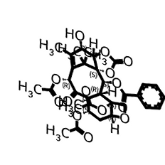 CC(=O)O[C@H]1C(=O)[C@]2(C)[C@@H](OC(C)=O)C[C@H]3OC[C@@]3(OC(C)=O)[C@H]2[C@H](OC(=O)c2ccccc2)[C@]23OC(=O)O[C@H]2[C@H](O)C(C)=C1C3(C)C